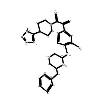 C=C(C(=O)N1CCC(c2nnn[nH]2)CC1)c1ccc(SC2COCC(Cc3ccccc3)O2)c(Cl)c1